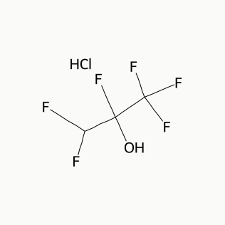 Cl.OC(F)(C(F)F)C(F)(F)F